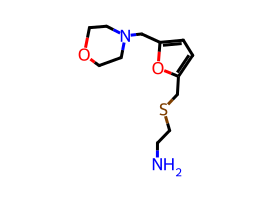 NCCSCc1ccc(CN2CCOCC2)o1